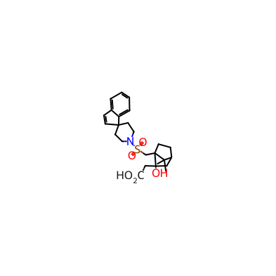 CC1(C)C2CCC1(CS(=O)(=O)N1CCC3(C=Cc4ccccc43)CC1)C(O)(CC(=O)O)C2